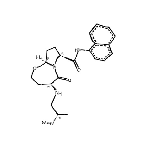 CN[C@@H](C)CN[C@H]1CCO[C@H]2CC[C@@H](C(=O)Nc3cccc4ccccc34)N2C1=O